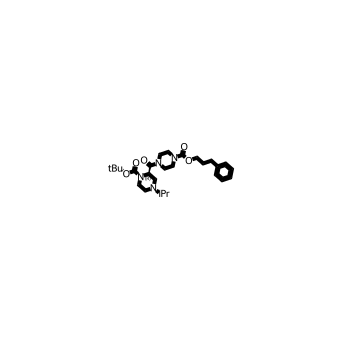 CC(C)N1CCN(C(=O)OC(C)(C)C)[C@@H](C(=O)N2CCN(C(=O)OCCCc3ccccc3)CC2)C1